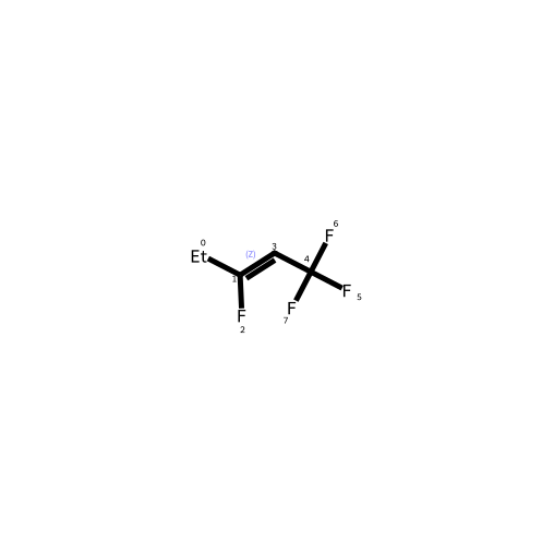 CC/C(F)=C/C(F)(F)F